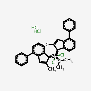 CC1=Cc2c(cccc2-c2ccccc2)[C]1=[Zr]([Cl])([Cl])(=[C]1C(C)=Cc2c1cccc2-c1ccccc1)=[Si](C)C.Cl.Cl